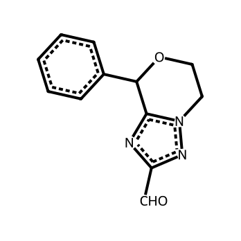 O=Cc1nc2n(n1)CCOC2c1ccccc1